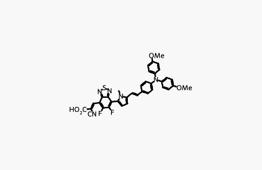 COc1ccc(N(c2ccc(/C=C/c3ccc(-c4c(F)c(F)c(/C=C(\C#N)C(=O)O)c5nsnc45)n3C)cc2)c2ccc(OC)cc2)cc1